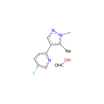 Cn1ncc(-c2ccc(F)cn2)[c]1[Na].O=CO